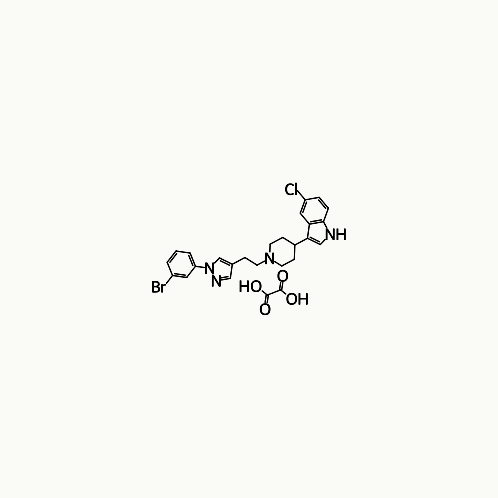 Clc1ccc2[nH]cc(C3CCN(CCc4cnn(-c5cccc(Br)c5)c4)CC3)c2c1.O=C(O)C(=O)O